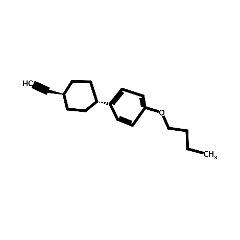 C#C[C@H]1CC[C@H](c2ccc(OCCCC)cc2)CC1